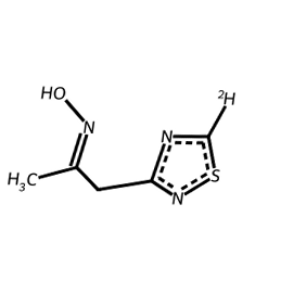 [2H]c1nc(CC(C)=NO)ns1